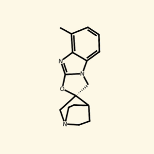 Cc1cccc2c1nc1n2C[C@]2(CN3CCC2CC3)O1